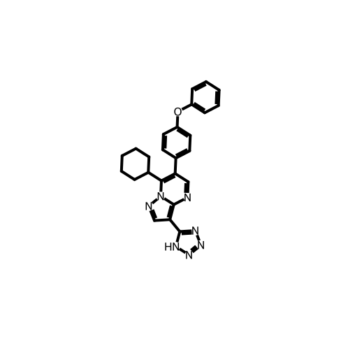 c1ccc(Oc2ccc(-c3cnc4c(-c5nnn[nH]5)cnn4c3C3CCCCC3)cc2)cc1